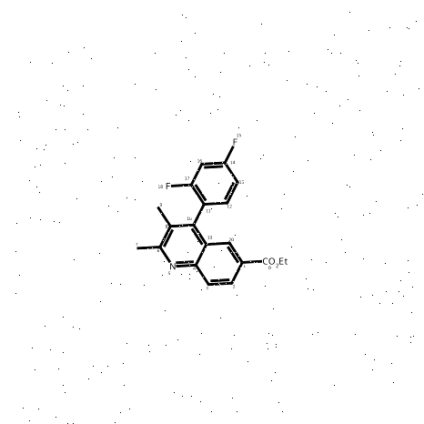 CCOC(=O)c1ccc2nc(C)c(C)c(-c3ccc(F)cc3F)c2c1